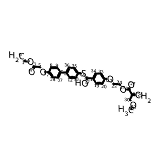 C=COC(=O)COc1ccc(-c2ccc(SC(O)c3ccc(OCCOC(=O)C(=C)COC)cc3)cc2)cc1